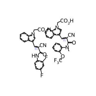 CN(C(=O)/C(C#N)=C/c1cn(CC(=O)O)c2ccccc12)c1ccccc1OC(F)(F)F.N#C/C(=C\c1cn(CC(=O)O)c2ccccc12)C(=O)Nc1ccc(F)cc1F